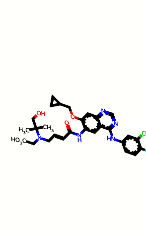 CC(C)(CO)N(CC=CC(=O)Nc1cc2c(Nc3ccc(F)c(Cl)c3)ncnc2cc1OCC1CC1)CC(=O)O